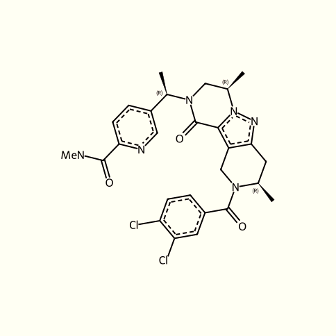 CNC(=O)c1ccc([C@@H](C)N2C[C@@H](C)n3nc4c(c3C2=O)CN(C(=O)c2ccc(Cl)c(Cl)c2)[C@H](C)C4)cn1